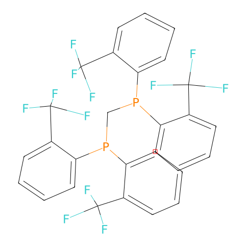 FC(F)(F)c1ccccc1P(CP(c1ccccc1C(F)(F)F)c1ccccc1C(F)(F)F)c1ccccc1C(F)(F)F